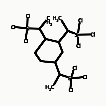 CC(C1CCC(C(C)[Si](Cl)(Cl)Cl)C(C(C)[Si](Cl)(Cl)Cl)C1)[Si](Cl)(Cl)Cl